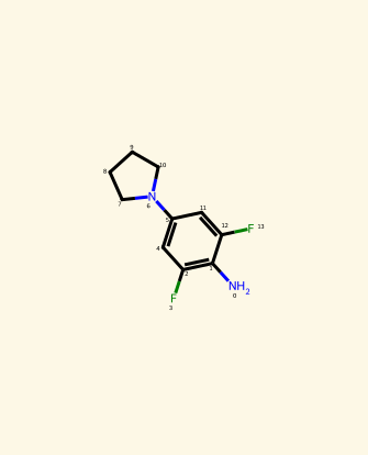 Nc1c(F)cc(N2CCCC2)cc1F